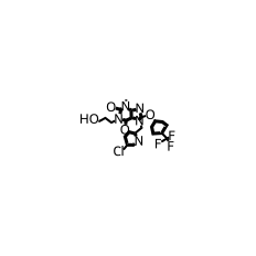 Cn1c(=O)n(CCCO)c(=O)c2c1nc(Oc1ccc(C(F)(F)F)cc1)n2Cc1ccc(Cl)cn1